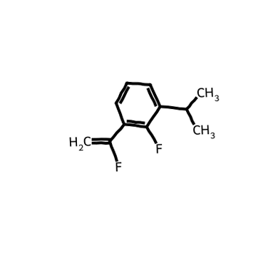 C=C(F)c1cccc(C(C)C)c1F